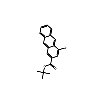 CC(C)(C)OC(=O)c1cc([O])c2cc3ccccc3cc2c1